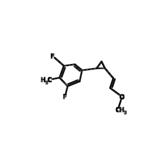 COC=CC1CC1c1cc(F)c(C)c(F)c1